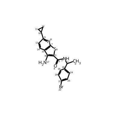 CC(NC(=O)c1sc2nc(C3CC3)ccc2c1N)c1ccc(Br)cc1